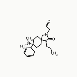 CCCN1C(=O)N(CC=O)CC12CCC(C1C=CC=CC1)(N(C)C)CC2